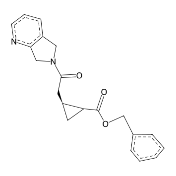 O=C(OCc1ccccc1)C1C[C@H]1CC(=O)N1Cc2cccnc2C1